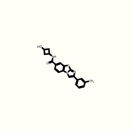 Cc1cccc(-c2cn3c(n2)sc2cc(C(=O)NC4CC(O)C4)ccc23)c1